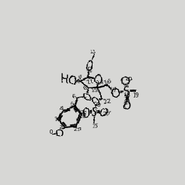 COc1ccc(CO[C@H]2[C@@H](O)C(OC)OC2(COS(C)(=O)=O)COS(C)(=O)=O)cc1